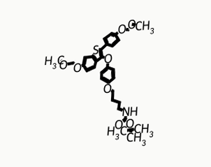 COCOc1ccc(-c2sc3cc(OCOC)ccc3c2Oc2ccc(OCCCCNC(=O)OC(C)(C)C)cc2)cc1